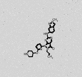 C=CCn1c(=O)c2cnc(Nc3ccc4cn(C)nc4c3)nc2n1-c1cccc(OC2CCNCC2)n1